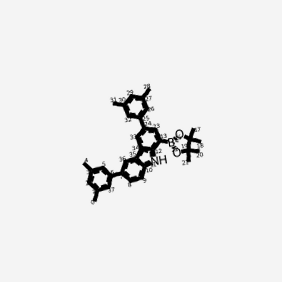 Cc1cc(C)cc(-c2ccc3[nH]c4c(B5OC(C)(C)C(C)(C)O5)cc(-c5cc(C)cc(C)c5)cc4c3c2)c1